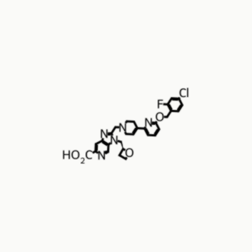 O=C(O)c1cc2nc(CN3CC=C(c4cccc(OCc5ccc(Cl)cc5F)n4)CC3)n(C[C@@H]3CCO3)c2cn1